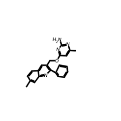 Cc1ccc2cc(COc3cc(C)nc(N)n3)c(-c3ccccc3)nc2c1